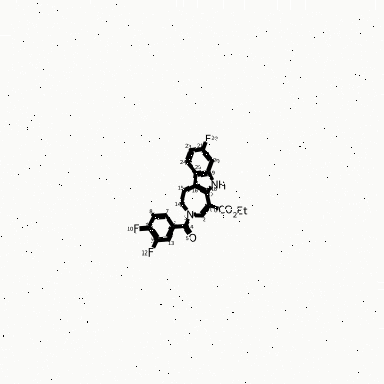 CCOC(=O)C1=CN(C(=O)c2ccc(F)c(F)c2)CCc2c1[nH]c1cc(F)ccc21